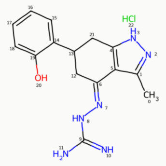 Cc1n[nH]c2c1C(=NNC(=N)N)CC(c1ccccc1O)C2.Cl